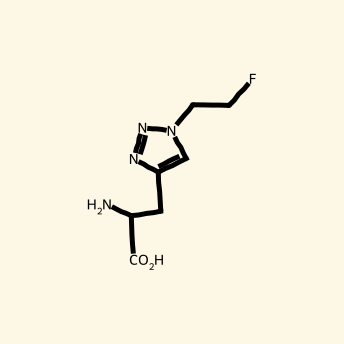 NC(Cc1cn(CCF)nn1)C(=O)O